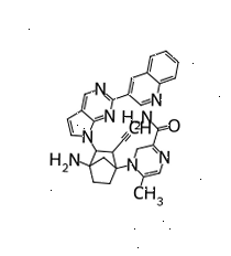 C#CC1C(n2ccc3cnc(-c4cnc5ccccc5c4)nc32)C2(N)CCC1(N1CC(C(N)=O)=NC=C1C)C2